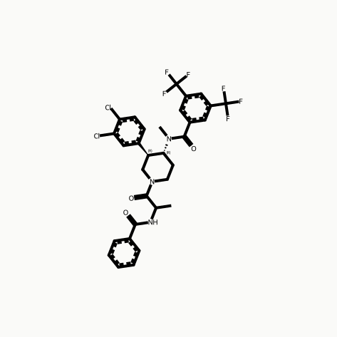 CC(NC(=O)c1ccccc1)C(=O)N1CC[C@@H](N(C)C(=O)c2cc(C(F)(F)F)cc(C(F)(F)F)c2)[C@H](c2ccc(Cl)c(Cl)c2)C1